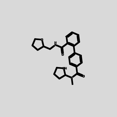 CN(C(=O)c1ccc(-c2ccc[c]c2C(=O)NCC2CCCO2)cc1)C1CCCN1